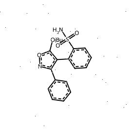 CC(C)COc1onc(-c2ccccc2)c1-c1ccccc1S(N)(=O)=O